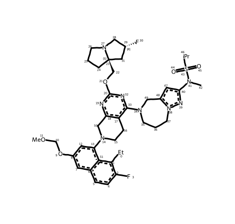 CCc1c(F)ccc2cc(OCOC)cc(N3CCc4c(nc(OC[C@@]56CCCN5C[C@H](F)C6)nc4N4CCCn5nc(N(C)S(=O)(=O)C(C)C)cc5C4)C3)c12